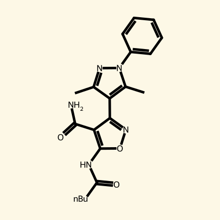 CCCCC(=O)Nc1onc(-c2c(C)nn(-c3ccccc3)c2C)c1C(N)=O